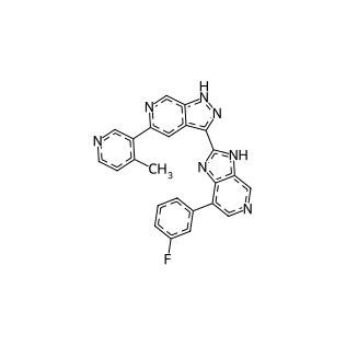 Cc1ccncc1-c1cc2c(-c3nc4c(-c5cccc(F)c5)cncc4[nH]3)n[nH]c2cn1